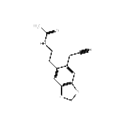 CC(=O)NCCc1cc2c(cc1CC#N)OCO2